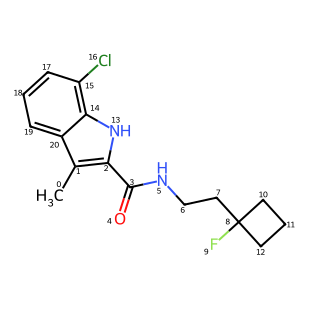 Cc1c(C(=O)NCCC2(F)CCC2)[nH]c2c(Cl)cccc12